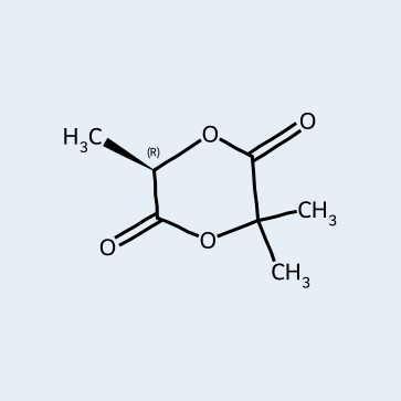 C[C@H]1OC(=O)C(C)(C)OC1=O